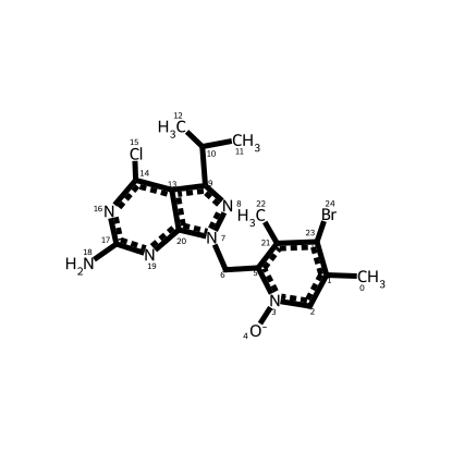 Cc1c[n+]([O-])c(Cn2nc(C(C)C)c3c(Cl)nc(N)nc32)c(C)c1Br